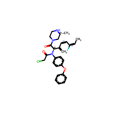 C=C(/C=C\C(F)=C/C)[C@H](C(=O)N1CCN[C@H](C)C1)N(C(=O)CCl)c1ccc(Oc2ccccc2)cc1